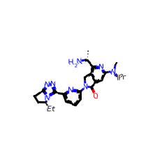 CC[C@H]1CCc2nnc(-c3cccc(N4Cc5c(cc(N(C)C(C)C)nc5[C@@H](C)N)C4=O)n3)n21